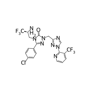 N[C@@H](Cn1c(-c2ccc(Cl)cc2)nn(Cc2ncn(-c3ncccc3C(F)(F)F)n2)c1=O)C(F)(F)F